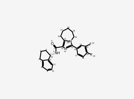 O=C(N[C@H]1CCCc2ccccc21)c1nc(-c2ccc(F)c(F)c2)n2c1CCCCC2